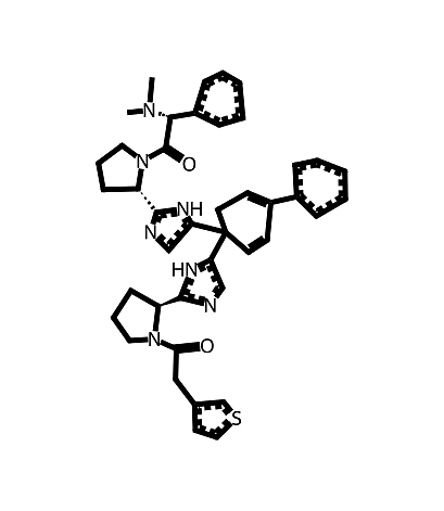 CN(C)[C@@H](C(=O)N1CCC[C@H]1c1ncc(C2(c3cnc([C@@H]4CCCN4C(=O)Cc4ccsc4)[nH]3)C=CC(c3ccccc3)=CC2)[nH]1)c1ccccc1